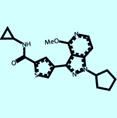 COc1nccc2c1c(-c1csc(C(=O)NC3CC3)c1)nn2C1CCCC1